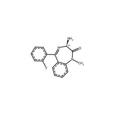 CN1C(=O)[C@H](N)N=C(c2ccccc2F)c2ccccc21